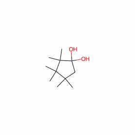 CC1(C)CC(O)(O)C(C)(C)C1(C)C